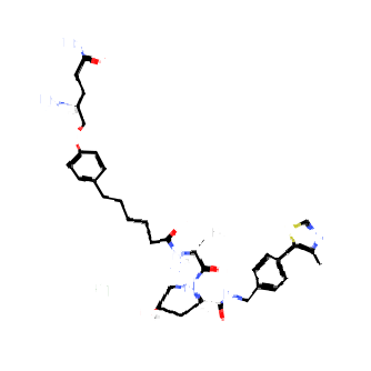 Cc1ncsc1-c1ccc(CNC(=O)[C@@H]2C[C@@H](O)CN2C(=O)[C@@H](NC(=O)CCCCCc2ccc(OC[C@@H](N)CCC(N)=O)cc2)C(C)(C)C)cc1.Cl